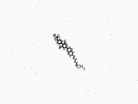 CCCCCCCC1CCC2CC(c3cc(F)c(-c4ccc(OC(F)F)cc4)c(F)c3)CCC2C1